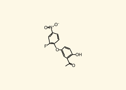 CC(=O)c1cc(Oc2ccc([N+](=O)[O-])cc2F)ccc1O